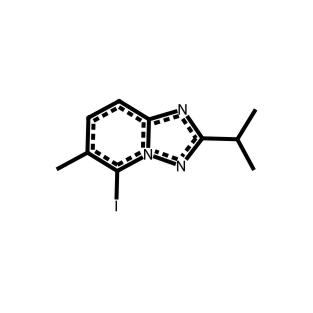 Cc1ccc2nc(C(C)C)nn2c1I